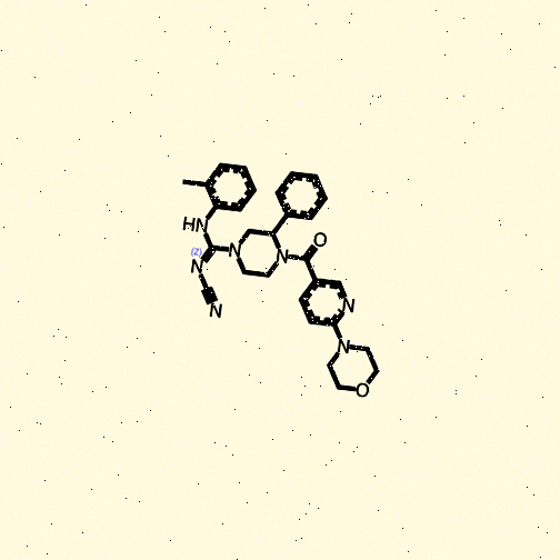 Cc1ccccc1N/C(=N/C#N)N1CCN(C(=O)c2ccc(N3CCOCC3)nc2)C(c2ccccc2)C1